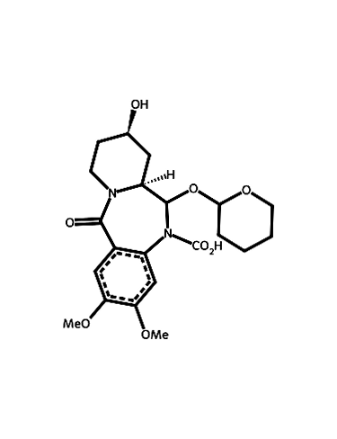 COc1cc2c(cc1OC)N(C(=O)O)C(OC1CCCCO1)[C@@H]1C[C@H](O)CCN1C2=O